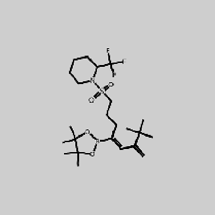 C=C(/C=C(\CCCS(=O)(=O)N1CCCCC1C(F)(F)F)B1OC(C)(C)C(C)(C)O1)C(C)(C)C